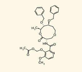 COc1ccnc(C(=O)N[C@H]2COCC[C@H](OCc3ccccc3)[C@@H](OCc3ccccc3)[C@H](C)OC2=O)c1OCOC(C)=O